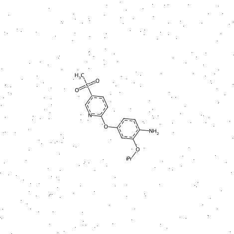 CC(C)Oc1cc(Oc2ccc(S(C)(=O)=O)cn2)ccc1N